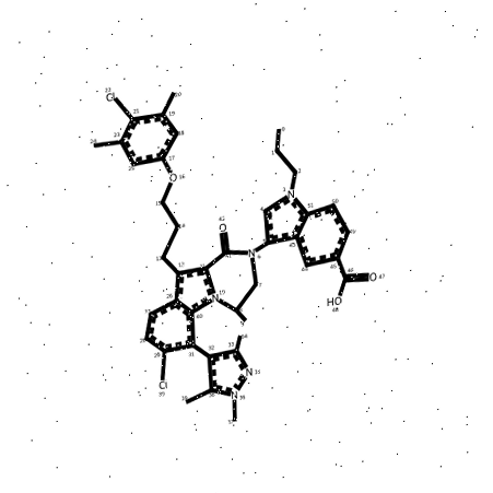 CCCn1cc(N2CC(C)n3c(c(CCCOc4cc(C)c(Cl)c(C)c4)c4ccc(Cl)c(-c5c(C)nn(C)c5C)c43)C2=O)c2cc(C(=O)O)ccc21